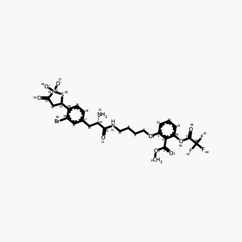 COC(=O)c1c(OCCCCNC(=O)[C@@H](N)Cc2ccc(C3CC(=O)[N+]([O-])([O-])S3)c(Br)c2)cccc1OC(=O)C(F)(F)F